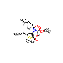 CC[C@@H](C(=O)OC(C)(C)C)N(C(=O)C1CCC(C)CC1)c1cc(C#CC(C)(C)C)sc1C(=O)OC